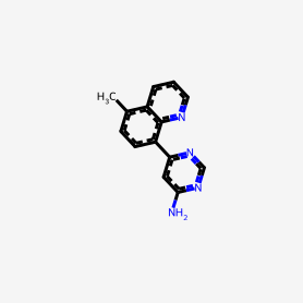 Cc1ccc(-c2cc(N)ncn2)c2ncccc12